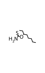 CCCCCC(CC)OC(N)=S